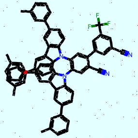 Cc1cccc(-c2ccc3c(c2)c2cc(-c4cccc(C)c4)ccc2n3-c2cc(C#N)c(-c3cc(C#N)cc(C(F)(F)F)c3)cc2-n2c3ccc(-c4cccc(C)c4)cc3c3cc(-c4cccc(C)c4)ccc32)c1